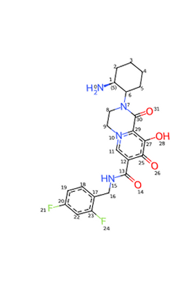 N[C@H]1CCCCC1N1CCn2cc(C(=O)NCc3ccc(F)cc3F)c(=O)c(O)c2C1=O